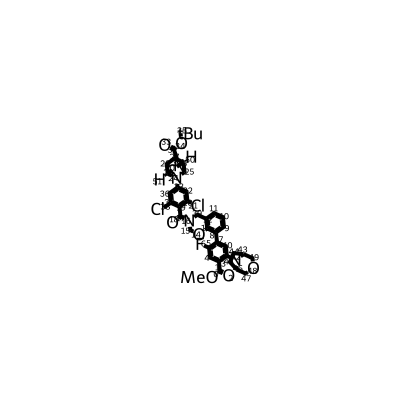 COC(=O)c1cc(F)c(-c2cccc3c2OCN(C(=O)c2c(Cl)cc(N4C[C@@H]5CC[C@@H]4CN5C(=O)OC(C)(C)C)cc2Cl)C3)cc1N1C2CCC1COC2